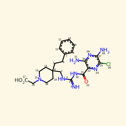 N=C(NCC1(CCc2ccccc2)CCN(CC(=O)O)CC1)NC(=O)c1nc(Cl)c(N)nc1N